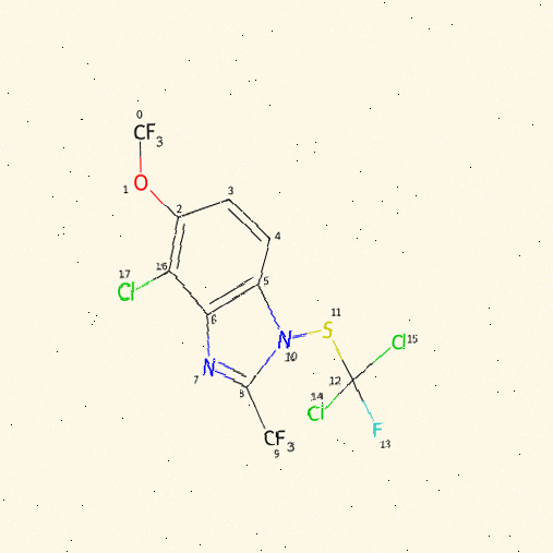 FC(F)(F)Oc1ccc2c(nc(C(F)(F)F)n2SC(F)(Cl)Cl)c1Cl